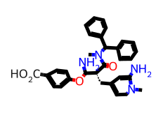 CN1CC=C(C[C@@H](C(=O)N(C)C(c2ccccc2)c2ccccc2)C(N)Oc2ccc(C(=O)O)cc2)C=C1N